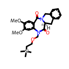 COc1cc2c(cc1OC)N(COCC[Si](C)(C)C)C(=O)[C@@H]1Cc3ccccc3CN1C2=O